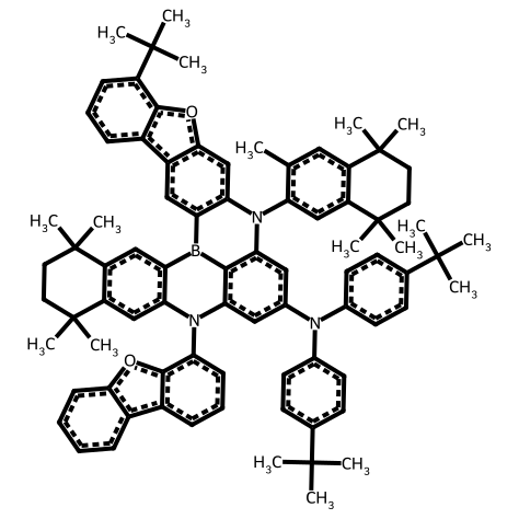 Cc1cc2c(cc1N1c3cc4oc5c(C(C)(C)C)cccc5c4cc3B3c4cc5c(cc4N(c4cccc6c4oc4ccccc46)c4cc(N(c6ccc(C(C)(C)C)cc6)c6ccc(C(C)(C)C)cc6)cc1c43)C(C)(C)CCC5(C)C)C(C)(C)CCC2(C)C